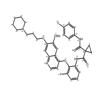 COc1cc2c(Oc3c(F)cccc3NC(=O)C3(C(=O)Nc4ccc(F)cc4)CC3)ccnc2cc1OCCCN1CCCCC1